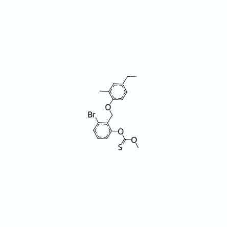 CCc1ccc(OCc2c(Br)cccc2OC(=S)OC)c(C)c1